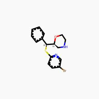 Brc1ccc(S[C@@H](c2ccccc2)[C@@H]2CNCCO2)nc1